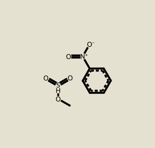 CO[SH](=O)=O.O=[N+]([O-])c1ccccc1